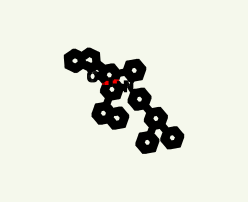 c1ccc(-c2ccc(-c3ccc(N(c4cccc(-c5cccc6ccccc56)c4)c4ccccc4-c4ccc5oc6c7ccccc7ccc6c5c4)cc3)cc2-c2ccccc2)cc1